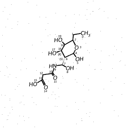 CCC1OC(O)[C@H](C(O)NC(=O)CC(=O)O)[C@@H](O)C1O